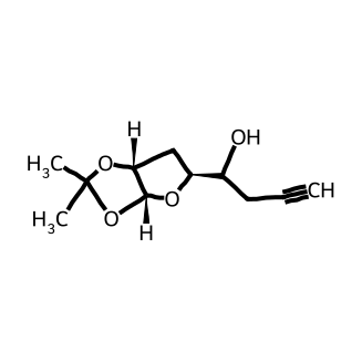 C#CCC(O)[C@@H]1C[C@H]2OC(C)(C)O[C@H]2O1